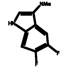 CNc1c[nH]c2cc(F)c(F)cc12